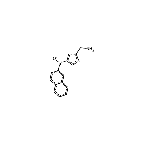 NCc1cc([S+]([O-])c2ccc3ccccc3c2)cs1